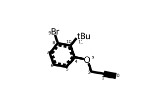 C#CCOc1cccc(Br)c1C(C)(C)C